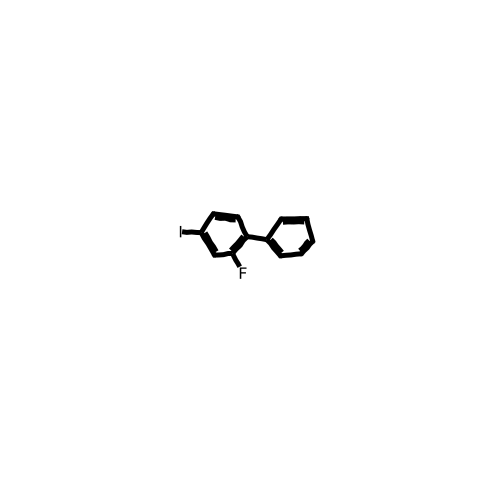 Fc1cc(I)ccc1-c1ccccc1